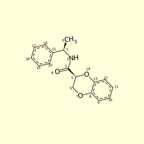 C[C@@H](NC(=O)[C@@H]1COc2ccccc2O1)c1ccccc1